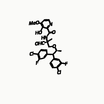 COc1ccnc(C(=O)N[C@@](C)(C=O)CO[C@@H](C)C(c2ccc(Cl)c(F)c2)c2ccc(Cl)c(F)c2)c1O